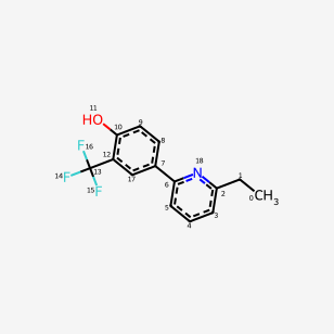 CCc1cccc(-c2ccc(O)c(C(F)(F)F)c2)n1